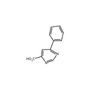 O=C(O)c1cc(-c2ccccc2)ncn1